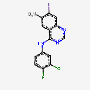 O=[N+]([O-])c1cc2c(Nc3ccc(F)c(Cl)c3)ncnc2cc1I